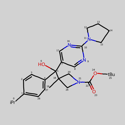 CC(C)c1ccc(C(O)(c2cnc(N3CCCC3)nc2)C2(C)CN(C(=O)OC(C)(C)C)C2)cc1